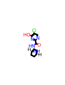 O=C(N[C@@H]1C[C@H]2CC[C@@H]1N2)c1ncc(Cl)c(O)n1